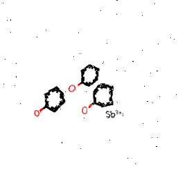 [O-]c1ccccc1.[O-]c1ccccc1.[O-]c1ccccc1.[Sb+3]